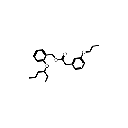 CCCOc1cccc(CC(=O)OCc2ccccc2OC(CC)CCC)c1